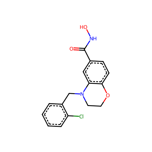 O=C(NO)c1ccc2c(c1)N(Cc1ccccc1Cl)CCO2